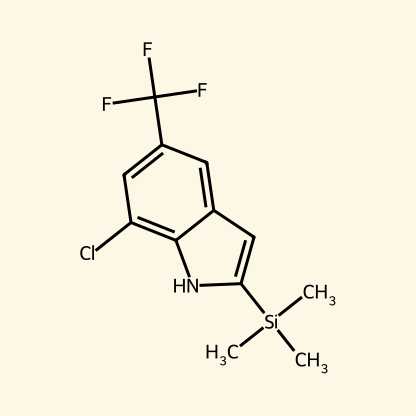 C[Si](C)(C)c1cc2cc(C(F)(F)F)cc(Cl)c2[nH]1